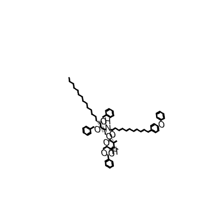 CCCCCCCCCCCCCC[C@@H](OCc1ccccc1)[C@@H](OCc1ccccc1)[C@H](CO[C@H]1OC2COC(c3ccccc3)O[C@@H]2[C@H](C)C1C)NC(=O)CCCCCCCCCCc1ccc(Oc2ccccc2)cc1